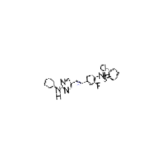 Fc1cc(/C=C/c2cnc(NC3CCCCC3)nc2)ccc1NSc1ccccc1Cl